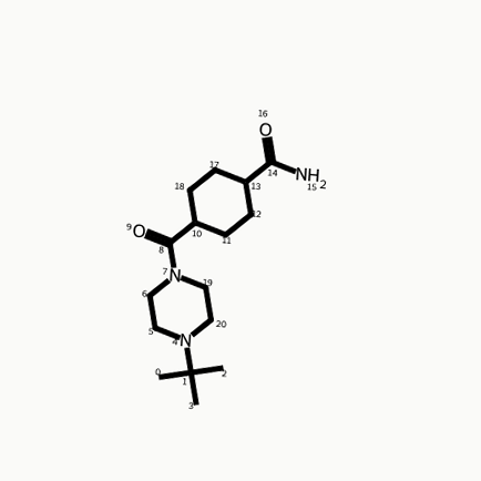 CC(C)(C)N1CCN(C(=O)C2CCC(C(N)=O)CC2)CC1